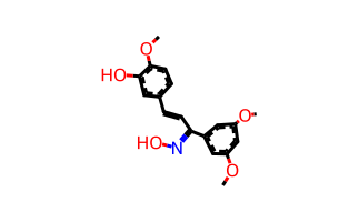 COc1cc(OC)cc(C(C=Cc2ccc(OC)c(O)c2)=NO)c1